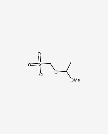 COC(C)OCS(=O)(=O)Cl